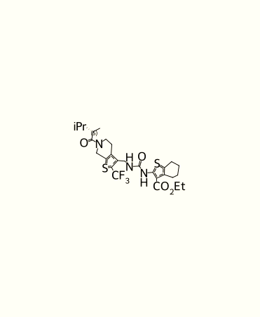 CCOC(=O)c1c(NC(=O)NCc2c(C(F)(F)F)sc3c2CCN(C(=O)[C@@H](C)C(C)C)C3)sc2c1CCCC2